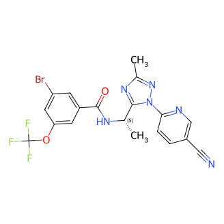 Cc1nc([C@H](C)NC(=O)c2cc(Br)cc(OC(F)(F)F)c2)n(-c2ccc(C#N)cn2)n1